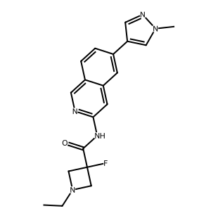 CCN1CC(F)(C(=O)Nc2cc3cc(-c4cnn(C)c4)ccc3cn2)C1